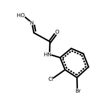 O=C(/C=N/O)Nc1cccc(Br)c1Cl